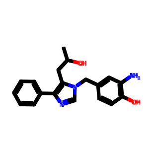 CC(O)Cc1c(-c2ccccc2)ncn1Cc1ccc(O)c(N)c1